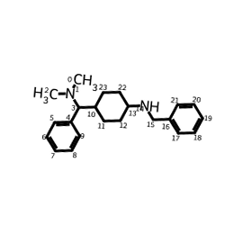 CN(C)C(c1ccccc1)C1CCC(NCc2ccccc2)CC1